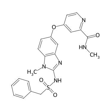 CNC(=O)c1cc(Oc2ccc3c(c2)nc(NS(=O)(=O)Cc2ccccc2)n3C)ccn1